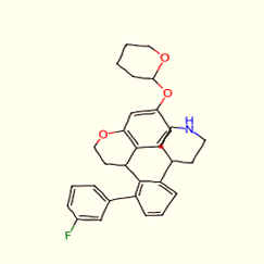 Fc1cccc(-c2cccc(C3CCNCC3)c2C2CCOc3cc(OC4CCCCO4)ccc32)c1